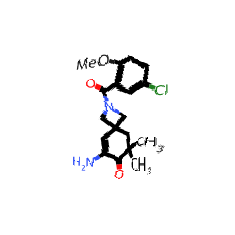 COc1ccc(Cl)cc1C(=O)N1CC2(C=C(N)C(=O)C(C)(C)C2)C1